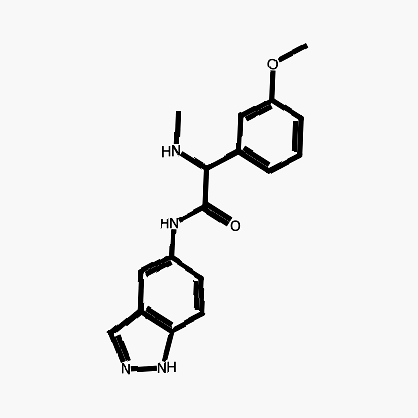 CNC(C(=O)Nc1ccc2[nH]ncc2c1)c1cccc(OC)c1